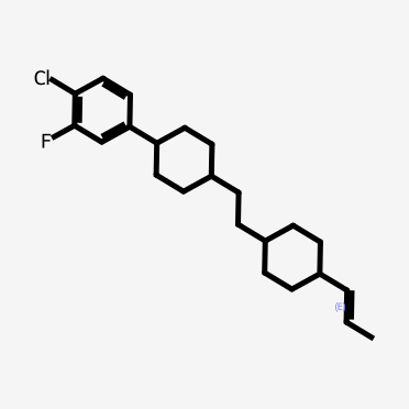 C/C=C/C1CCC(CCC2CCC(c3ccc(Cl)c(F)c3)CC2)CC1